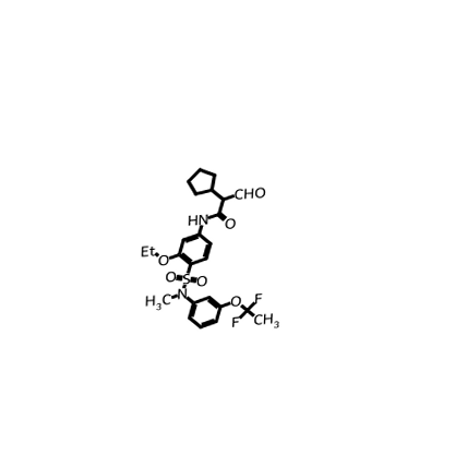 CCOc1cc(NC(=O)C(C=O)C2CCCC2)ccc1S(=O)(=O)N(C)c1cccc(OC(C)(F)F)c1